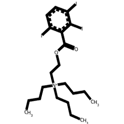 CCCC[N+](CCCC)(CCCC)CCOC(=O)c1c(I)ccc(I)c1I